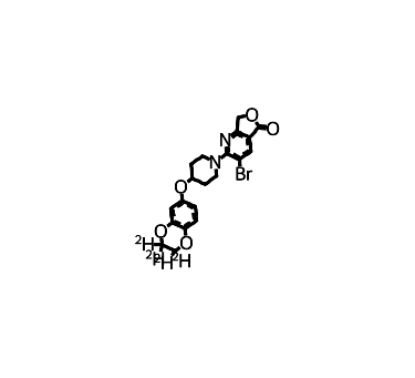 [2H]C1([2H])Oc2ccc(OC3CCN(c4nc5c(cc4Br)C(=O)OC5)CC3)cc2OC1([2H])[2H]